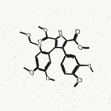 COCOc1cc(OC)c(OC)cc1-c1c(C(=O)OC)[nH]c(C(=O)OC)c1-c1ccc(OC)c(OC)c1